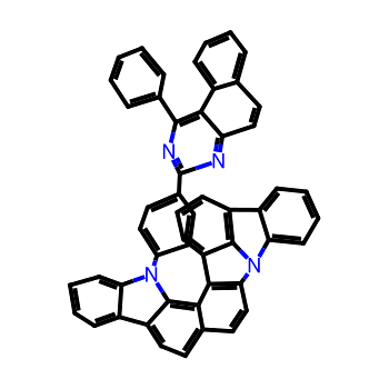 c1ccc(-c2nc(-c3ccc(-n4c5ccccc5c5ccc6ccc7c(c8cccc9c%10ccccc%10n7c98)c6c54)cc3)nc3ccc4ccccc4c23)cc1